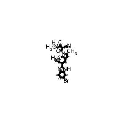 Cc1oc(-n2c(C)cc(/C=C(\C#N)c3nc4ccc(Br)cc4[nH]3)c2C)c(C#N)c1C